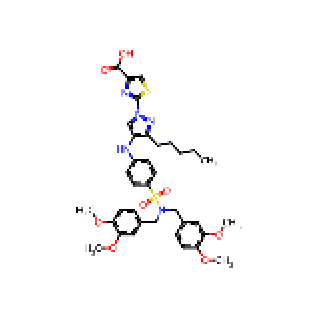 CCCCCc1nn(-c2nc(C(=O)O)cs2)cc1Nc1ccc(S(=O)(=O)N(Cc2ccc(OC)c(OC)c2)Cc2ccc(OC)c(OC)c2)cc1